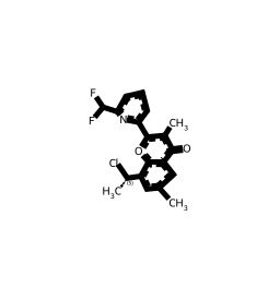 Cc1cc([C@H](C)Cl)c2oc(-c3cccc(C(F)F)n3)c(C)c(=O)c2c1